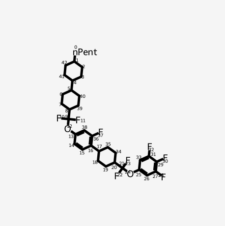 CCCCCC1CCC(C2CCC(C(F)(F)Oc3ccc(C4CCC(C(F)(F)Oc5cc(F)c(F)c(F)c5)CC4)c(F)c3)CC2)CC1